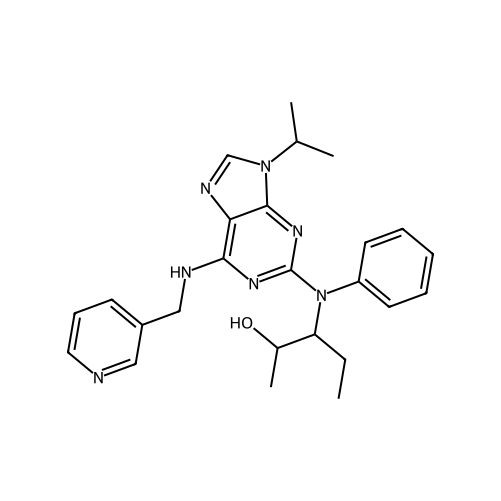 CCC(C(C)O)N(c1ccccc1)c1nc(NCc2cccnc2)c2ncn(C(C)C)c2n1